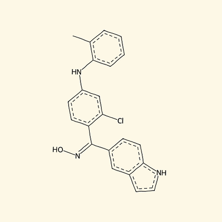 Cc1ccccc1Nc1ccc(C(=NO)c2ccc3[nH]ccc3c2)c(Cl)c1